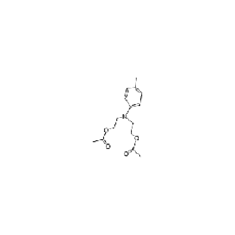 CC(=O)OCCN(CCOC(C)=O)c1ccc(C)cc1